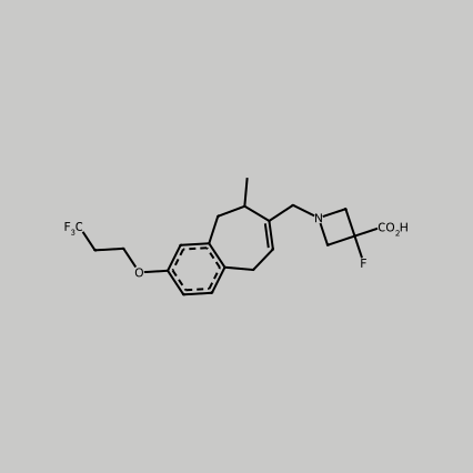 CC1Cc2cc(OCCC(F)(F)F)ccc2CC=C1CN1CC(F)(C(=O)O)C1